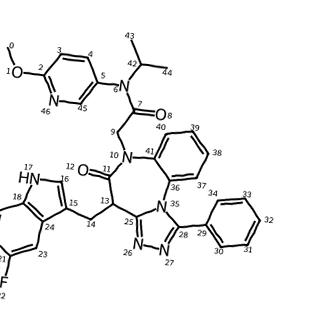 COc1ccc(N(C(=O)CN2C(=O)C(Cc3c[nH]c4ccc(F)cc34)c3nnc(-c4ccccc4)n3-c3ccccc32)C(C)C)cn1